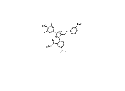 CNC(=O)c1cc(N(C)C)ccc1-c1nc(-c2cc(C)c(O)c(C)c2)[nH]c1CCc1cccc(P=O)c1